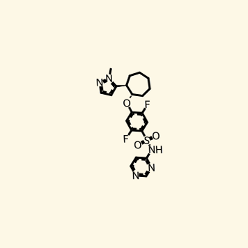 Cn1nccc1[C@H]1CCCCC[C@@H]1Oc1cc(F)c(S(=O)(=O)Nc2ccncn2)cc1F